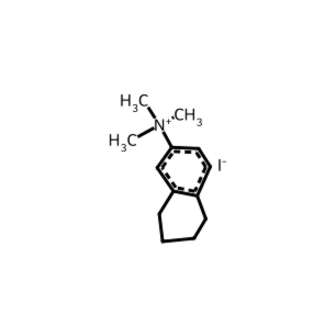 C[N+](C)(C)c1ccc2c(c1)CCCC2.[I-]